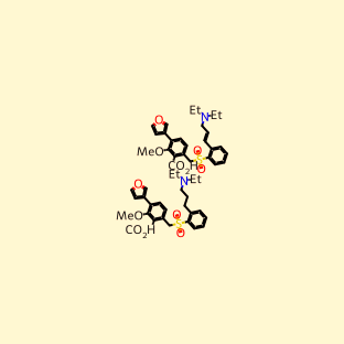 CCN(CC)CC=Cc1ccccc1S(=O)(=O)Cc1ccc(-c2ccoc2)c(OC)c1C(=O)O.CCN(CC)CCCc1ccccc1S(=O)(=O)Cc1ccc(-c2ccoc2)c(OC)c1C(=O)O